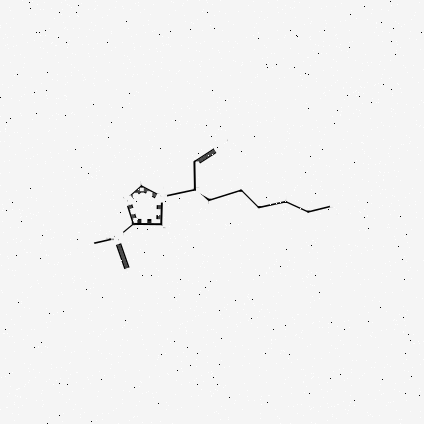 CCCCCC[C@H]([C]=O)n1cnc([N+](=O)[O-])c1